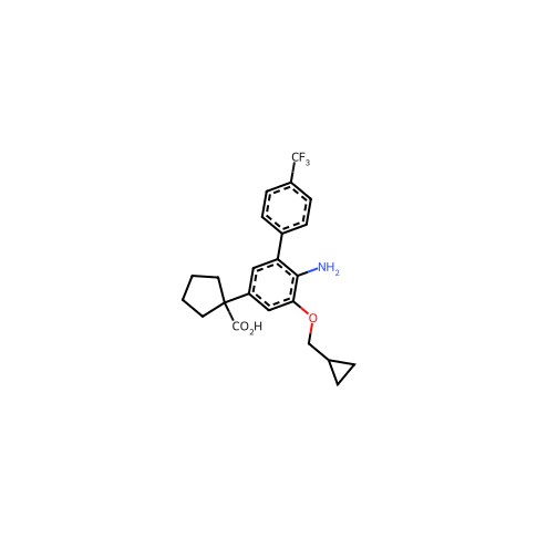 Nc1c(OCC2CC2)cc(C2(C(=O)O)CCCC2)cc1-c1ccc(C(F)(F)F)cc1